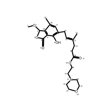 COC1OC(=O)c2c(O)c(C/C=C(\C)CCC(=O)OCCN3CCOCC3)cc(C)c21